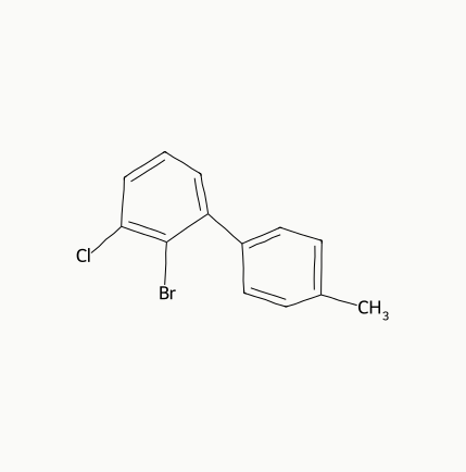 Cc1ccc(-c2cccc(Cl)c2Br)cc1